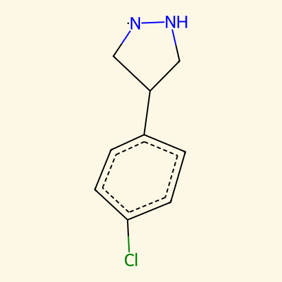 Clc1ccc(C2C[N]NC2)cc1